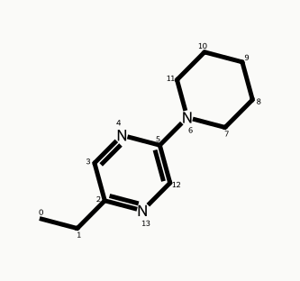 CCc1cnc(N2CCCCC2)cn1